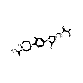 CC(=S)N1CCN(c2ccc(N3C[C@H](CNC(=O)C(F)F)OC3=O)cc2F)CCN1